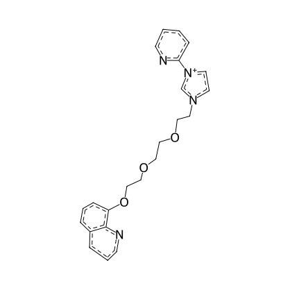 c1ccc(-[n+]2ccn(CCOCCOCCOc3cccc4cccnc34)c2)nc1